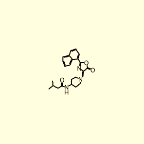 CC(C)CC(=O)NC1CCN(C=C2N=C(c3cccc4ccccc34)OC2=O)CC1